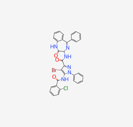 O=C(Nc1c(Br)c(C(=O)NC2N=C(c3ccccc3)c3ccccc3NC2=O)nn1-c1ccccc1)c1ccccc1Cl